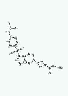 CC(C)(C)OC(=O)N1CC(c2ccc3c(ccn3S(=O)(=O)c3ccc(OC(F)F)cc3)c2)C1